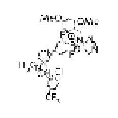 COc1ccc(CN(c2ccncn2)S(=O)(=O)c2c(F)cc(N3CCCC(CCc4cc(C(F)(F)F)ccc4Cl)(N(C)C)C3)cc2F)c(OC)c1